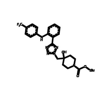 CC(C)(C)OC(=O)N1CCC(O)(Cn2nnc(-c3ccccc3Nc3ccc(C(F)(F)F)cc3)n2)CC1